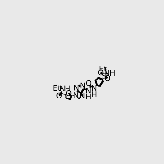 CCNC(=O)[C@@H]1CC[C@H](n2cnc3c(NC(=O)Nc4ccc(S(=O)(=O)NCC)cc4)ncnc32)O1